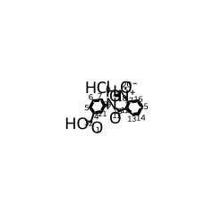 Cl.O=C(O)c1cccc(NC(=O)c2ccccc2[N+](=O)[O-])c1